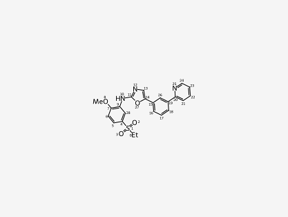 CCS(=O)(=O)c1ccc(OC)c(Nc2ncc(-c3cccc(-c4ccccn4)c3)o2)c1